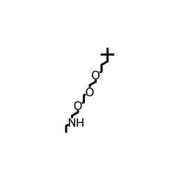 CCNCCOCCOCCOCCCC(C)(C)C